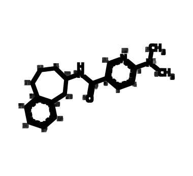 CN(C)c1ccc(C(=O)NC2CCCc3ccccc3C2)cn1